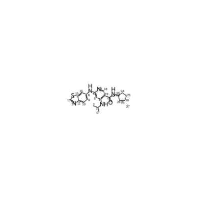 CC(C)Nc1cc(Nc2ccc3ncsc3c2)ncc1C(=O)N[C@H]1CC[C@H](C)C1